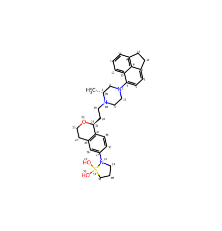 C[C@@H]1CN(c2ccc3c4c(cccc24)CC3)CCN1CC[C@@H]1OCCc2cc(N3CCCS3(O)O)ccc21